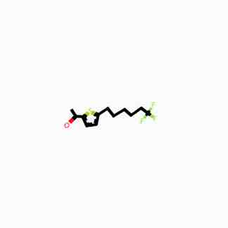 CC(=O)c1ccc(CCCCCC(F)(F)F)s1